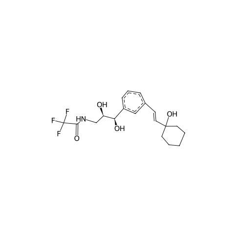 O=C(NC[C@@H](O)[C@H](O)c1cccc(C=CC2(O)CCCCC2)c1)C(F)(F)F